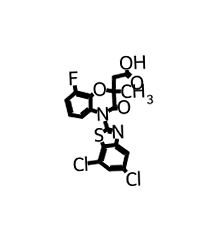 CC1(CC(=O)O)Oc2c(F)cccc2N(c2nc3cc(Cl)cc(Cl)c3s2)C1=O